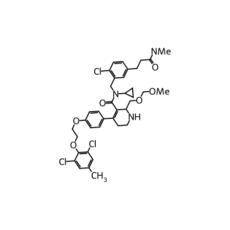 CNC(=O)CCc1ccc(Cl)c(CN(C(=O)C2=C(c3ccc(OCCOc4c(Cl)cc(C)cc4Cl)cc3)CCNC2COCOC)C2CC2)c1